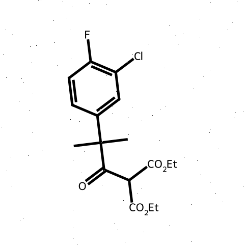 CCOC(=O)C(C(=O)OCC)C(=O)C(C)(C)c1ccc(F)c(Cl)c1